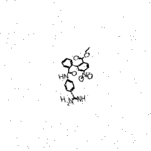 CCOC(=O)c1ccc([N+](=O)[O-])cc1-c1ccccc1C(=O)Nc1ccc(C(=N)N)cc1